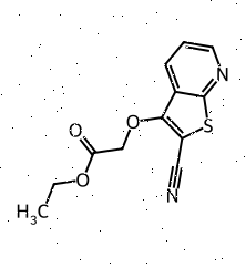 CCOC(=O)COc1c(C#N)sc2ncccc12